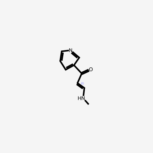 CN/C=C/C(=O)c1cccnc1